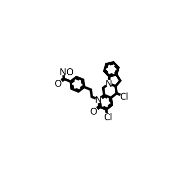 O=NC(=O)c1ccc(CCn2c3c(cc(Cl)c2=O)C(Cl)C2Cc4ccccc4N2C3)cc1